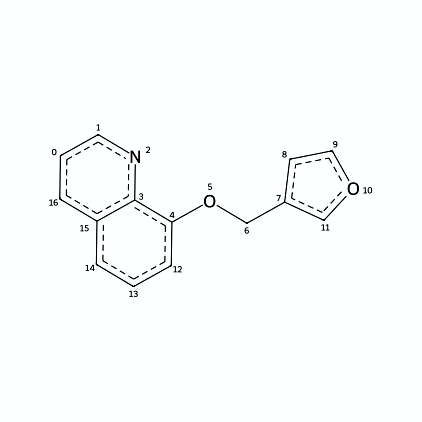 c1cnc2c(OCc3ccoc3)cccc2c1